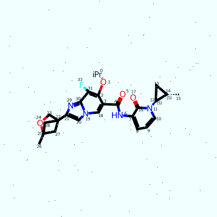 CC(C)Oc1c(C(=O)Nc2cccn([C@H]3C[C@@H]3C)c2=O)cn2cc(C34COC(C)(C3)C4)nc2c1F